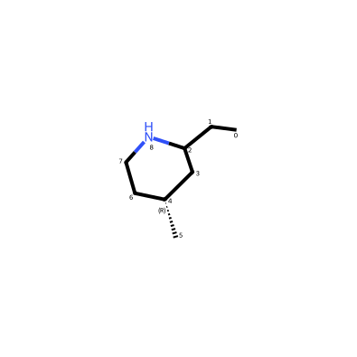 CCC1C[C@H](C)CCN1